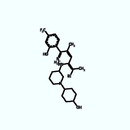 CC/C(C)=C(/C=C(C)\C(=N/C)c1ccc(C(F)(F)F)cc1O)NC1CCCN(C2CCC(O)CC2)C1